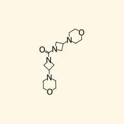 O=C(N1CC(N2CCOCC2)C1)N1CC(N2CCOCC2)C1